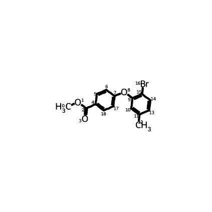 COC(=O)c1ccc(Oc2cc(C)ccc2Br)cc1